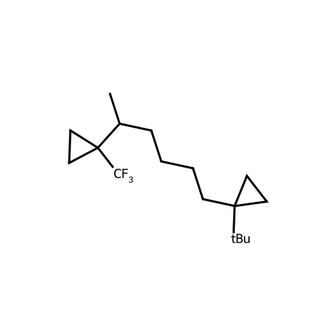 CC(CCCCC1(C(C)(C)C)CC1)C1(C(F)(F)F)CC1